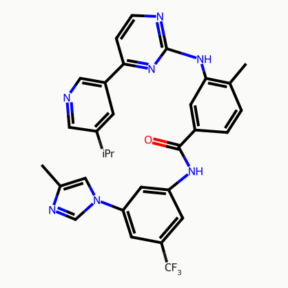 Cc1cn(-c2cc(NC(=O)c3ccc(C)c(Nc4nccc(-c5cncc(C(C)C)c5)n4)c3)cc(C(F)(F)F)c2)cn1